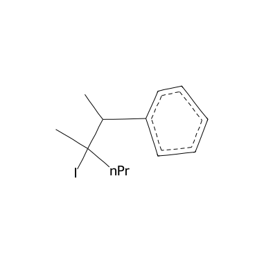 CCCC(C)(I)C(C)c1ccccc1